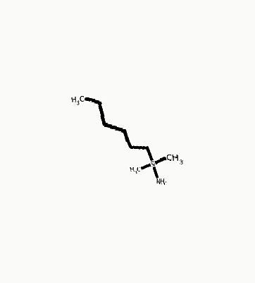 CCCCCC[Si](C)(C)[NH]